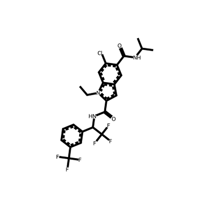 CCn1c(C(=O)NC(c2cccc(C(F)(F)F)c2)C(F)(F)F)cc2cc(C(=O)NC(C)C)c(Cl)cc21